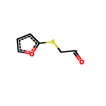 O=[C]CSc1ccco1